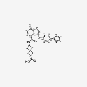 O=C(NC1CC2(C1)CC(C(=O)O)C2)c1ccc(Cl)c2cnn(Cc3ccc(-n4cccn4)cc3)c12